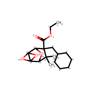 CCOC(=O)C1(CC2CCCCC2)C2OC(C1(C)C)C13OC21O3